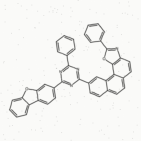 c1ccc(-c2nc(-c3ccc4c(c3)oc3ccccc34)nc(-c3ccc4ccc5ccc6nc(-c7ccccc7)oc6c5c4c3)n2)cc1